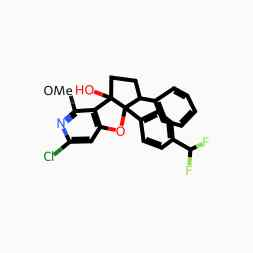 COc1nc(Cl)cc2c1C1(O)CCC(c3ccccc3)C1(c1ccc(C(F)F)cc1)O2